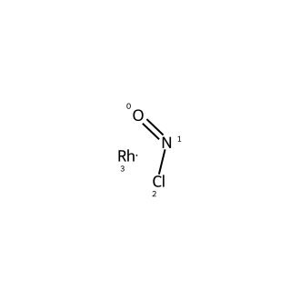 O=NCl.[Rh]